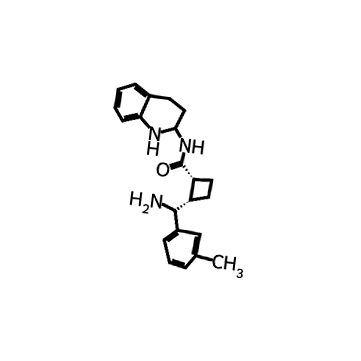 Cc1cccc(C(N)[C@H]2CC[C@H]2C(=O)NC2CCc3ccccc3N2)c1